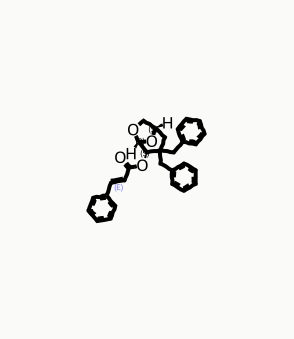 O=C(/C=C/c1ccccc1)O[C@@H]1[C@@H]2OC[C@H](CC1(Cc1ccccc1)Cc1ccccc1)O2